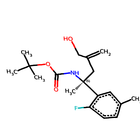 C=C(CO)C[C@](C)(NC(=O)OC(C)(C)C)c1cc(C)ccc1F